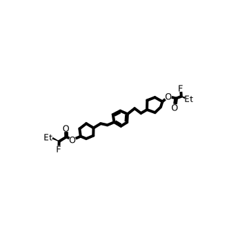 CC[C@H](F)C(=O)OC1CCC(CCc2ccc(CCC3CCC(OC(=O)[C@@H](F)CC)CC3)cc2)CC1